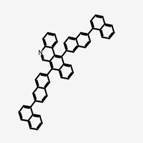 c1ccc2c(-c3ccc4cc(-c5c6ccccc6c(-c6ccc7cc(-c8cccc9ccccc89)ccc7c6)c6c5cnc5ccccc56)ccc4c3)cccc2c1